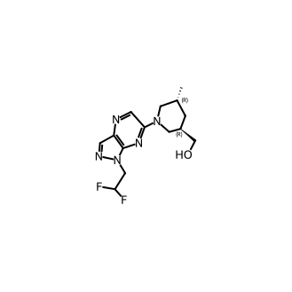 C[C@@H]1C[C@@H](CO)CN(c2cnc3cnn(CC(F)F)c3n2)C1